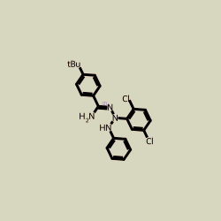 CC(C)(C)c1ccc(/C(N)=N/N(Nc2ccccc2)c2cc(Cl)ccc2Cl)cc1